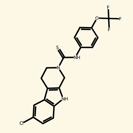 FC(F)(F)Oc1ccc(NC(=S)N2CCc3c([nH]c4ccc(Cl)cc34)C2)cc1